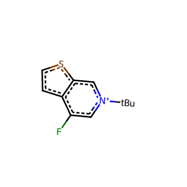 CC(C)(C)[n+]1cc(F)c2ccsc2c1